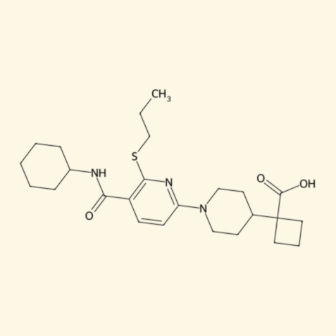 CCCSc1nc(N2CCC(C3(C(=O)O)CCC3)CC2)ccc1C(=O)NC1CCCCC1